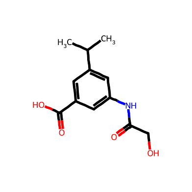 CC(C)c1cc(NC(=O)CO)cc(C(=O)O)c1